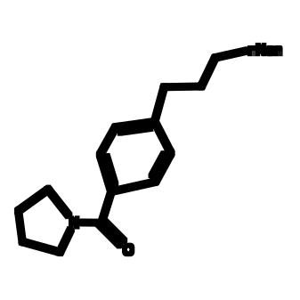 CCCCCCCCCCCCc1ccc(C(=O)N2CCCC2)cc1